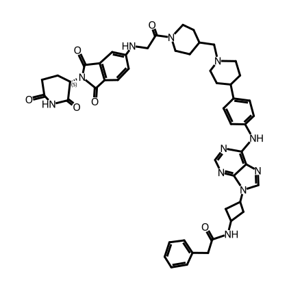 O=C1CC[C@H](N2C(=O)c3ccc(NCC(=O)N4CCC(CN5CCC(c6ccc(Nc7ncnc8c7ncn8C7CC(NC(=O)Cc8ccccc8)C7)cc6)CC5)CC4)cc3C2=O)C(=O)N1